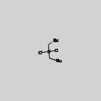 CCC(C)C[Si](Cl)(Cl)C[C@@H](C)CC